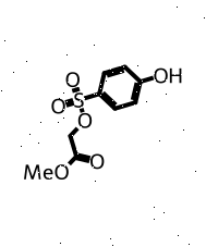 COC(=O)COS(=O)(=O)c1ccc(O)cc1